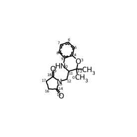 CC1(C)Oc2ccccc2NC1CN1C(=O)CCC1=O